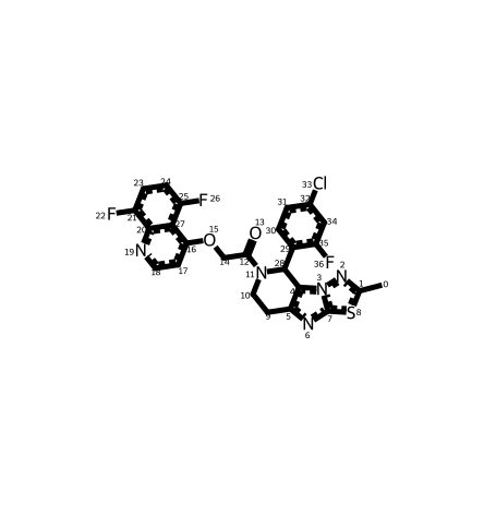 Cc1nn2c3c(nc2s1)CCN(C(=O)COc1ccnc2c(F)ccc(F)c12)C3c1ccc(Cl)cc1F